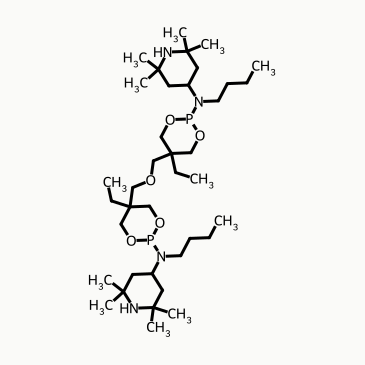 CCCCN(C1CC(C)(C)NC(C)(C)C1)P1OCC(CC)(COCC2(CC)COP(N(CCCC)C3CC(C)(C)NC(C)(C)C3)OC2)CO1